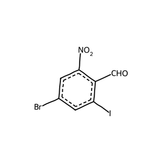 O=Cc1c(I)cc(Br)cc1[N+](=O)[O-]